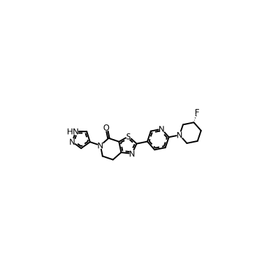 O=C1c2sc(-c3ccc(N4CCC[C@@H](F)C4)nc3)nc2CCN1c1cn[nH]c1